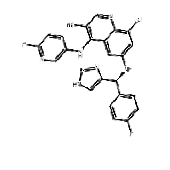 N#Cc1cnc2c(Cl)cc(N[C@@H](c3ccc(F)cc3)c3c[nH]nn3)cc2c1Nc1ccc(F)nc1